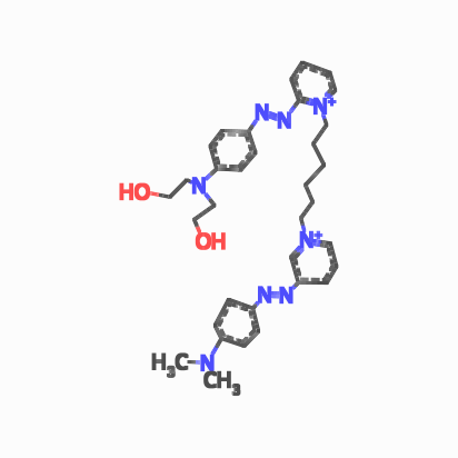 CN(C)c1ccc(/N=N/c2ccc[n+](CCCCCC[n+]3ccccc3/N=N/c3ccc(N(CCO)CCO)cc3)c2)cc1